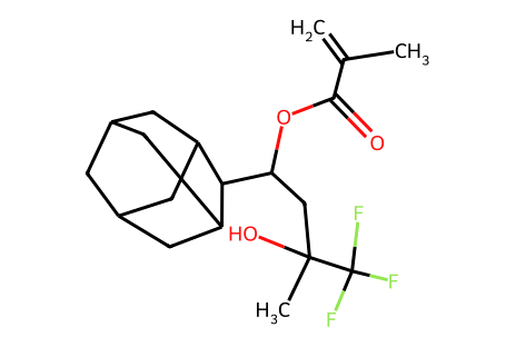 C=C(C)C(=O)OC(CC(C)(O)C(F)(F)F)C1C2CC3CC(C2)CC1C3